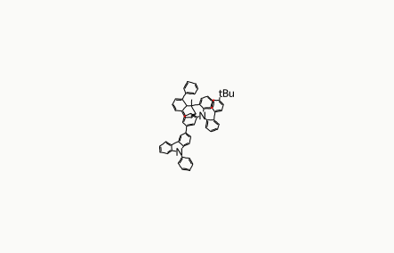 CC(C)(C)c1ccc(-c2ccccc2N(c2cccc(-c3ccc4c(c3)c3ccccc3n4-c3ccccc3)c2)c2ccccc2C2(C)C=CC=C3C=CC=C(c4ccccc4)C32)cc1